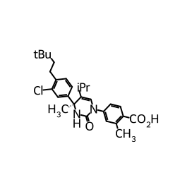 Cc1cc(N2C=C(C(C)C)[C@](C)(c3ccc(CCC(C)(C)C)c(Cl)c3)NC2=O)ccc1C(=O)O